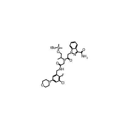 CC(CO[Si](C)(C)C(C)(C)C)N(CC(=O)NCc1cc(N2CCOCC2)cc(Cl)c1F)C(=O)Cn1nc(C(N)=O)c2ccccc21